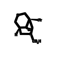 CC(C)[C@]12COC[C@H](CN(C(=O)O)C1)C2O